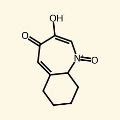 O=C1C=C2CCCCC2[N+](=O)C=C1O